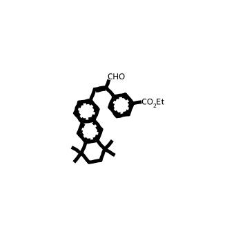 CCOC(=O)c1cccc(C(C=O)=Cc2ccc3cc4c(cc3c2)C(C)(C)CCC4(C)C)c1